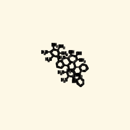 Bc1c(B)c(B)c(-c2cccc(-c3c4c(B)c(B)c(B)c(B)c4c(-c4ccccc4-n4c(C)nc5ccccc54)c4c(B)c(O)c(O)c(B)c34)c2)c(B)c1B